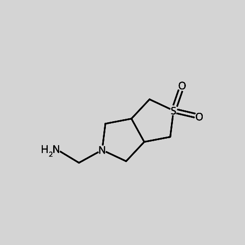 NCN1CC2CS(=O)(=O)CC2C1